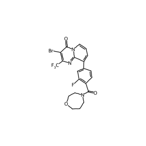 O=C(c1ccc(-c2cccn3c(=O)c(Br)c(C(F)(F)F)nc23)cc1F)N1CCCOCC1